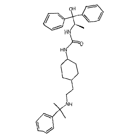 C[C@@H](NC(=O)NC1CCC(CCNC(C)(C)c2ccccc2)CC1)C(O)(c1ccccc1)c1ccccc1